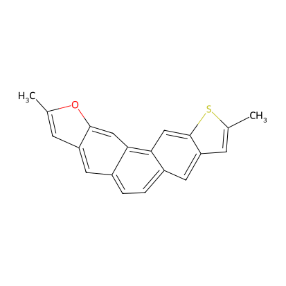 Cc1cc2cc3ccc4cc5cc(C)sc5cc4c3cc2o1